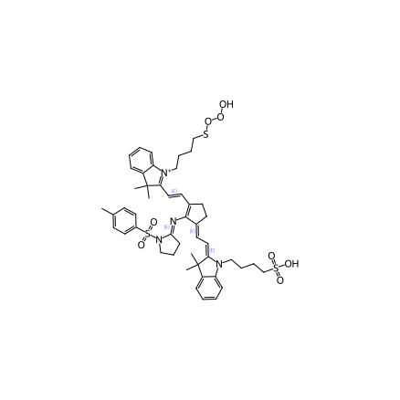 Cc1ccc(S(=O)(=O)N2CCC/C2=N\C2=C(/C=C/C3=[N+](CCCCSOOO)c4ccccc4C3(C)C)CC/C2=C\C=C2\N(CCCCS(=O)(=O)O)c3ccccc3C2(C)C)cc1